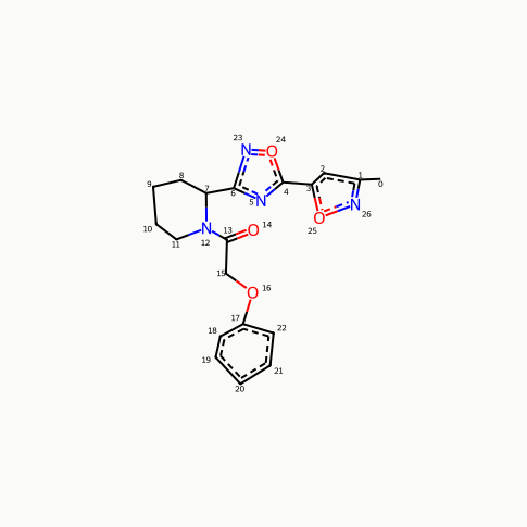 Cc1cc(-c2nc(C3CCCCN3C(=O)COc3ccccc3)no2)on1